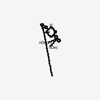 C#CC#CC#CC#CC#CC#CC#CC#CC#CC#CC#CC#CC#CC#CC#CC#CC1(C)c2ccccc2-c2ccc(-c3c4nc(cc5ccc([nH]5)c(-c5ccc6c(c5)C(CCCCCCCCCCCCCCCC)(CCCCCCCCCCCCCCCC)c5ccccc5-6)c5nc(cc6ccc3[nH]6)C=C5)C=C4)cc21